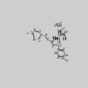 Br.Cc1ccc(/C=C/C(/C=C/c2ccc(C)cc2)=NNC2=NCCN2)cc1